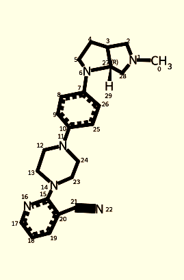 CN1CC2CCN(c3ccc(N4CCN(c5ncccc5C#N)CC4)cc3)[C@H]2C1